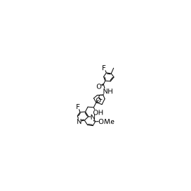 COc1ccc2ncc(F)c(CC(O)C34CCC(NC(=O)c5ccc(C)c(F)c5)(CC3)CO4)c2n1